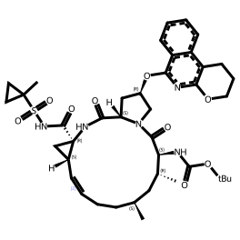 C[C@H]1CC/C=C\[C@@H]2C[C@@]2(C(=O)NS(=O)(=O)C2(C)CC2)NC(=O)[C@@H]2C[C@@H](Oc3nc4c(c5ccccc35)CCCO4)CN2C(=O)[C@@H](NC(=O)OC(C)(C)C)[C@H](C)C1